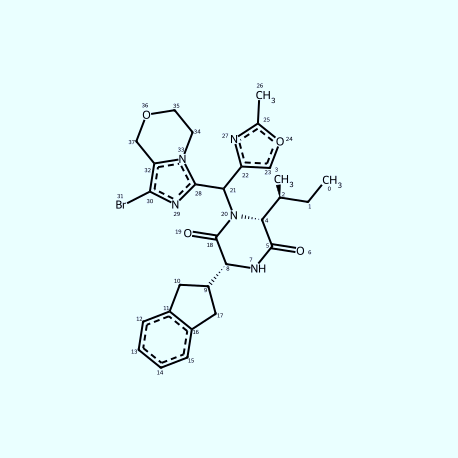 CC[C@H](C)[C@@H]1C(=O)N[C@H](C2Cc3ccccc3C2)C(=O)N1C(c1coc(C)n1)c1nc(Br)c2n1CCOC2